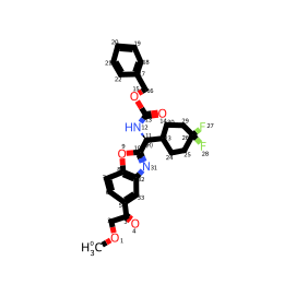 COCC(=O)c1ccc2oc([C@H](NC(=O)OCc3ccccc3)C3CCC(F)(F)CC3)nc2c1